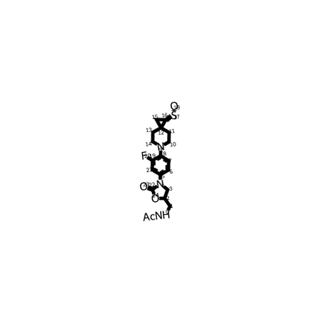 CC(=O)NCC1CN(c2ccc(N3CCC4(CC3)CC4=S=O)c(F)c2)C(=O)O1